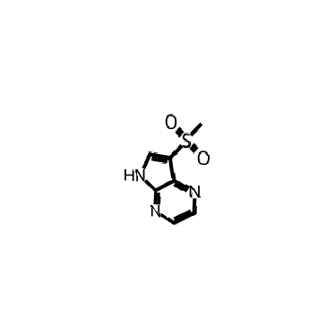 CS(=O)(=O)c1c[nH]c2nccnc12